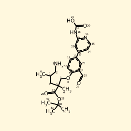 CC(CN)CC(C)(COc1ccc(-c2ccnc(NC(=O)O)c2)cc1C=O)C(=O)OC(C)(C)C